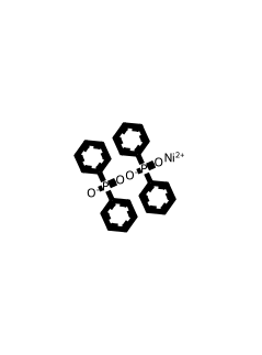 O=P([O-])(c1ccccc1)c1ccccc1.O=P([O-])(c1ccccc1)c1ccccc1.[Ni+2]